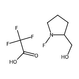 O=C(O)C(F)(F)F.OCC1CCCN1F